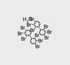 Brc1ccc(-c2ccc(Br)c(Br)c2Br)c(Br)c1Br.Brc1ccc(-c2ccc(Br)c(Br)c2Br)c(Br)c1Br.O